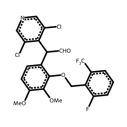 COc1ccc(C(C=O)c2c(Cl)cncc2Cl)c(OCc2c(F)cccc2C(F)(F)F)c1OC